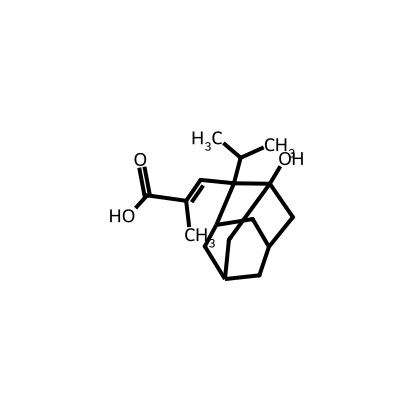 CC(=CC1(C(C)C)C2CC3CC(C2)CC1(O)C3)C(=O)O